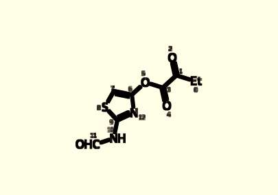 CCC(=O)C(=O)Oc1csc(NC=O)n1